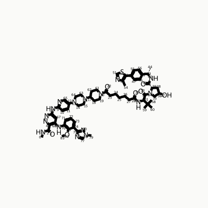 CNC(=O)c1nnc(Nc2ccc(N3CCN(C4CCN(C(=O)CCCCCC(=O)NC(C(=O)N5CC(O)C[C@H]5C(=O)N[C@@H](C)c5ccc(-c6scnc6C)cc5)C(C)(C)C)CC4)CC3)cn2)cc1Nc1cccc(-c2ncn(C)n2)c1OC